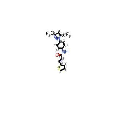 O=C(/C=C/c1cccs1)Nc1ccc(-n2nc(C(F)(F)F)cc2C(F)(F)F)cc1